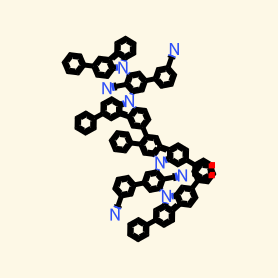 N#Cc1cccc(-c2cc(-n3c4ccccc4c4cc(-c5ccccc5)ccc43)c(C#N)c(-n3c4ccc(-c5ccccc5)cc4c4cc(-c5cc6c7ccc(-c8ccccc8)cc7n(-c7cc(-c8cccc(C#N)c8)cc(-n8c9cc(-c%10ccccc%10)ccc9c9ccc(-c%10ccccc%10)cc98)c7C#N)c6cc5-c5ccccc5)ccc43)c2)c1